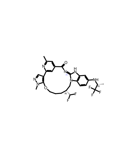 Cc1cc2cc(n1)-c1cnn(C)c1OCCC[C@@H](C(F)F)CN1/C(=N/C2=O)Nc2cc(N[C@H](C)C(F)(F)F)ccc21